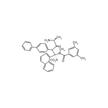 Cc1cc(C)cc(C(=O)N(C)[C@@](C(=O)O)(c2cccc3ccccc23)C(C(=O)[C@H](C)N)c2ccc(-c3ccccc3)cc2)c1